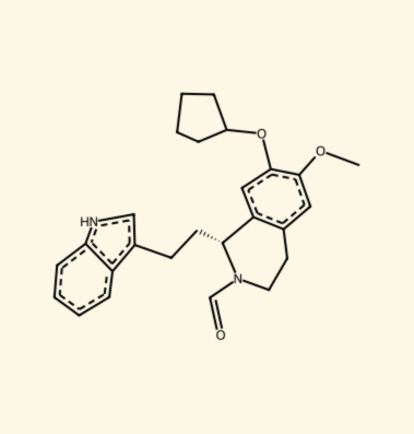 COc1cc2c(cc1OC1CCCC1)[C@@H](CCc1c[nH]c3ccccc13)N(C=O)CC2